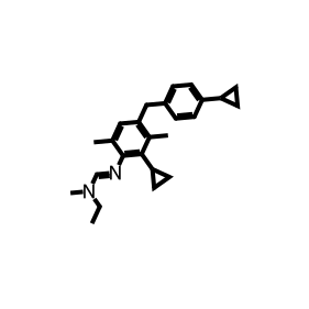 CCN(C)C=Nc1c(C)cc(Cc2ccc(C3CC3)cc2)c(C)c1C1CC1